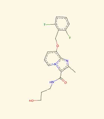 Cc1nc2c(OCc3c(F)cccc3F)cccn2c1C(=O)NCCCO